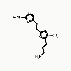 CC(=O)Nc1nc(CCc2cc(C)c(CCCN)s2)cs1